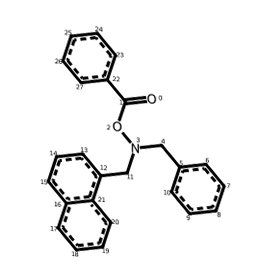 O=C(ON(Cc1ccccc1)Cc1cccc2ccccc12)c1ccccc1